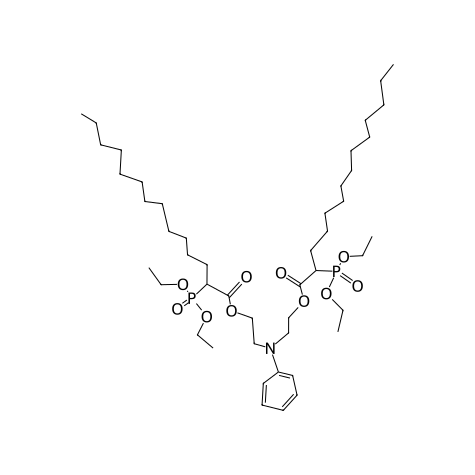 CCCCCCCCCCCCC(C(=O)OCCN(CCOC(=O)C(CCCCCCCCCCCC)P(=O)(OCC)OCC)c1ccccc1)P(=O)(OCC)OCC